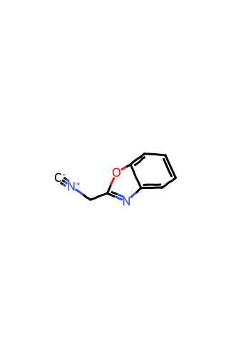 [C-]#[N+]Cc1nc2ccccc2o1